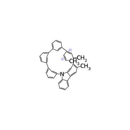 C=C1/C=C(\C=C/C)c2cccc(c2)-c2cccc(c2)-c2cccc(c2)-n2c3ccccc3c3cc(C)c1cc32